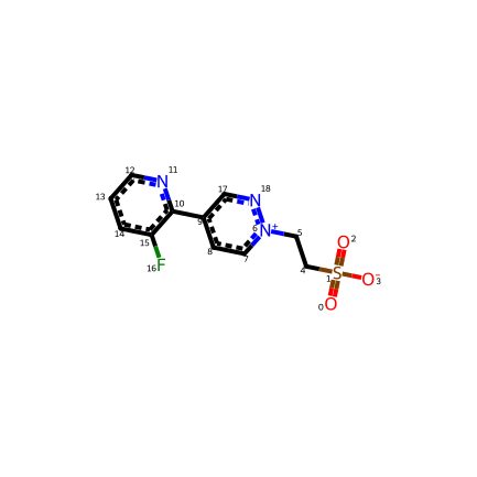 O=S(=O)([O-])CC[n+]1ccc(-c2ncccc2F)cn1